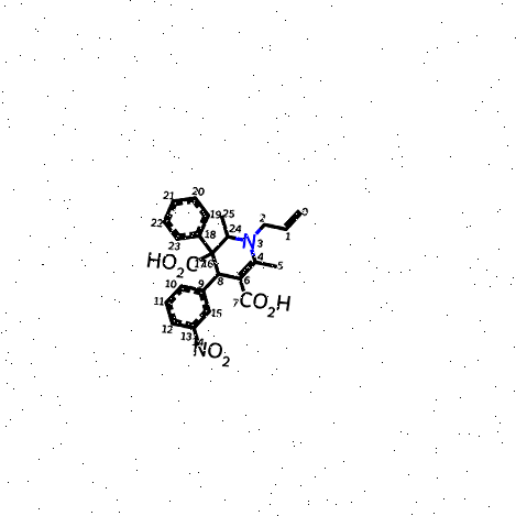 C=CCN1C(C)=C(C(=O)O)C(c2cccc([N+](=O)[O-])c2)C(C(=O)O)(c2ccccc2)C1C